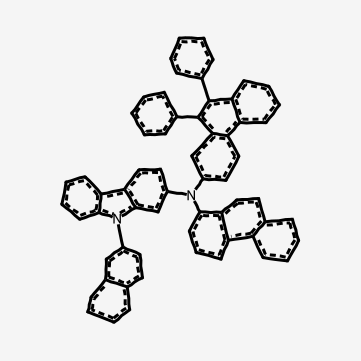 c1ccc(-c2c(-c3ccccc3)c3cc(N(c4ccc5c6ccccc6n(-c6ccc7ccccc7c6)c5c4)c4cccc5c4ccc4ccccc45)ccc3c3ccccc23)cc1